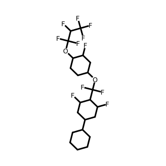 FC1CC(OC(F)(F)C2C(F)CC(C3CCCCC3)CC2F)CCC1OC(F)(F)C(F)C(F)(F)F